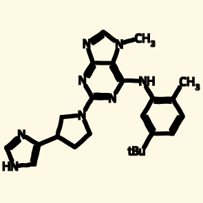 Cc1ccc(C(C)(C)C)cc1Nc1nc(N2CCC(c3c[nH]cn3)C2)nc2ncn(C)c12